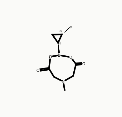 C[C@H]1C[C@@H]1B1OC(=O)CN(C)CC(=O)O1